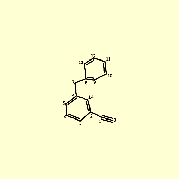 [C]#Cc1cccc(Cc2ccccc2)c1